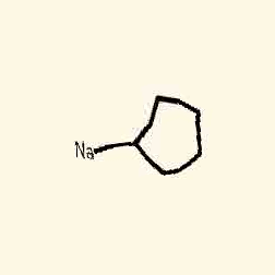 [Na][CH]1CCCC1